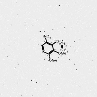 C=C.COc1ccc([N+](=O)[O-])c(C=O)c1OC